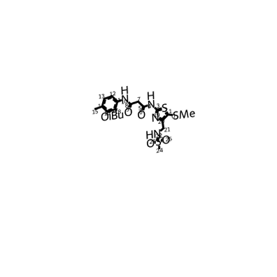 CSc1sc(NC(=O)CC(=O)Nc2ccc(C)cc2OCC(C)C)nc1CNS(C)(=O)=O